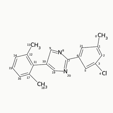 Cc1cc(Cl)cc(-c2ncc(-c3c(C)cccc3C)cn2)c1